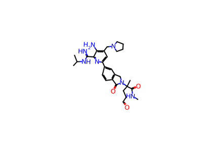 CNC(=O)C(C)(CCC=O)N1Cc2cc(-c3cc(CN4CCCC4)c(N)c(C(=N)NC(C)C)n3)ccc2C1=O